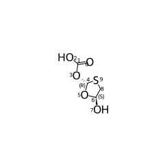 O=C(O)O[C@H]1O[C@H](O)CS1